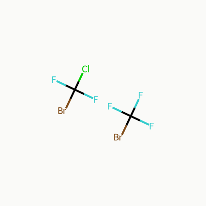 FC(F)(Cl)Br.FC(F)(F)Br